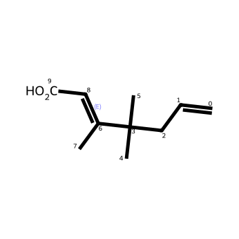 C=CCC(C)(C)/C(C)=C/C(=O)O